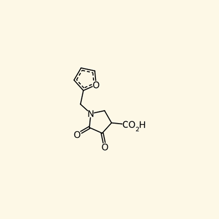 O=C(O)C1CN(Cc2ccco2)C(=O)C1=O